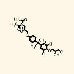 CC(=O)N(C[C@@H](O)COc1ccc(C(C)(C)c2cc(Cl)c(OC[C@H](O)CCl)c(Cl)c2)cc1)C(C)=O